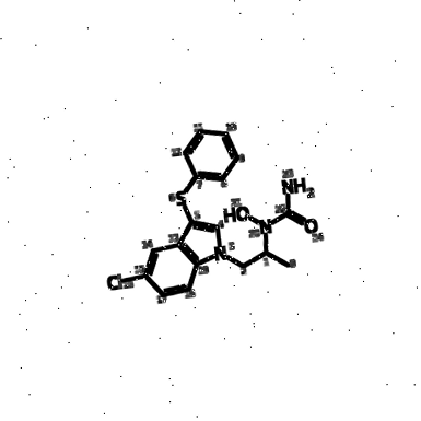 CC(Cn1cc(Sc2ccccc2)c2cc(Cl)ccc21)N(O)C(N)=O